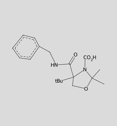 CC1(C)OCC(C(=O)NCc2ccccc2)(C(C)(C)C)N1C(=O)O